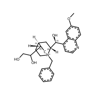 COc1ccc2nccc([C@H](O)[C@H]3C[C@@H]4CC[N+]3(Cc3ccccc3)C[C@@H]4C(O)CO)c2c1